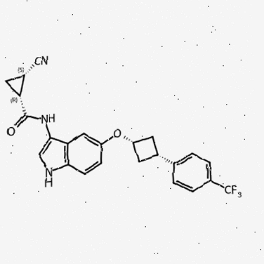 N#C[C@H]1C[C@H]1C(=O)Nc1c[nH]c2ccc(O[C@H]3C[C@@H](c4ccc(C(F)(F)F)cc4)C3)cc12